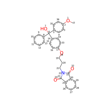 COc1ccc(C(O)(c2ccccc2)c2ccc(OCCCN3C(=O)c4ccccc4C3=O)cc2)cc1